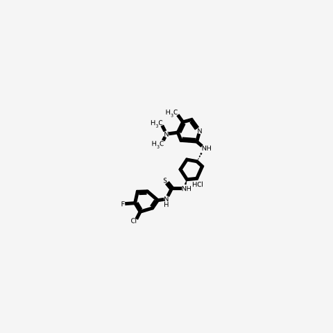 Cc1cnc(N[C@H]2CC[C@@H](NC(=S)Nc3ccc(F)c(Cl)c3)CC2)cc1N(C)C.Cl